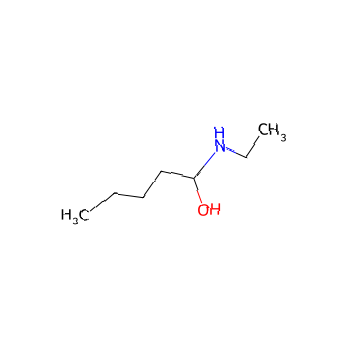 CCCCC(O)NCC